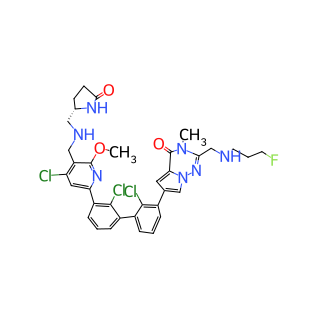 COc1nc(-c2cccc(-c3cccc(-c4cc5c(=O)n(C)c(CNCCCF)nn5c4)c3Cl)c2Cl)cc(Cl)c1CNC[C@@H]1CCC(=O)N1